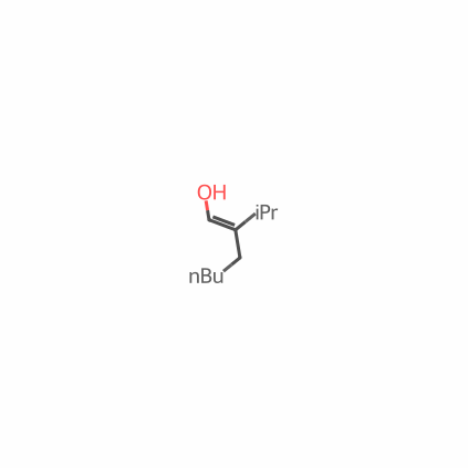 CCCCC/C(=C/O)C(C)C